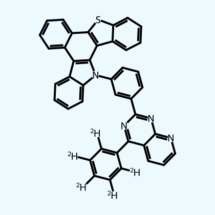 [2H]c1c([2H])c([2H])c(-c2nc(-c3cccc(-n4c5ccccc5c5c6ccccc6c6sc7ccccc7c6c54)c3)nc3ncccc23)c([2H])c1[2H]